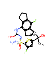 CC(C)(O)c1cc(F)c([S@@](N)(=O)=NC(O)Nc2c3c(c(F)c4c2CCC4)CCC3)s1